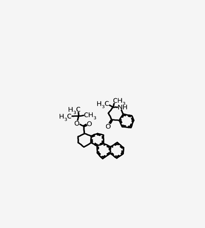 CC(C)(C)OC(=O)C1CCCc2c1ccc1c2ccc2ccccc21.CC1(C)CC(=O)c2ccccc2N1